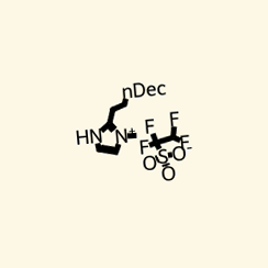 CCCCCCCCCCCCc1[nH]cc[n+]1C.O=S(=O)([O-])C(F)(F)C(F)F